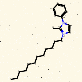 CCCCCCCCCCCC[n+]1ccn(-c2ccccc2)c1C